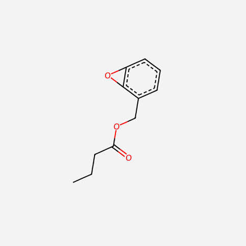 CCCC(=O)OCc1cccc2c1O2